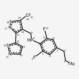 CC(=O)CCc1cc(F)c(PCc2c(-c3ccns3)nsc2C(F)(F)F)c(F)c1